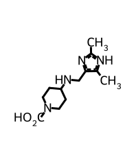 Cc1nc(CNC2CCN(C(=O)O)CC2)c(C)[nH]1